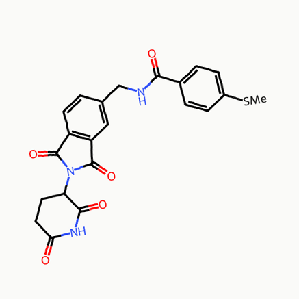 CSc1ccc(C(=O)NCc2ccc3c(c2)C(=O)N(C2CCC(=O)NC2=O)C3=O)cc1